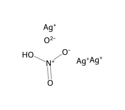 O=[N+]([O-])O.[Ag+].[Ag+].[Ag+].[O-2]